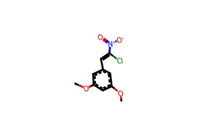 COc1cc(C=C(Cl)[N+](=O)[O-])cc(OC)c1